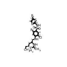 CCCCC(CNc1cc(F)c(S(=O)(=O)Nc2ncc(F)s2)cc1Cl)NC(C)C